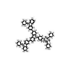 c1ccc(C2=NC(c3ccc(-n4c5ccc(-c6ccc7c(c6)c6ccccc6n7-c6ccccc6)cc5c5cc(-c6ccc7c(c6)c6ccccc6n7-c6ccccc6)ccc54)cc3)NC(c3ccccc3)=N2)cc1